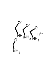 NC[O-].NC[O-].NC[O-].NC[O-].[Ti+4]